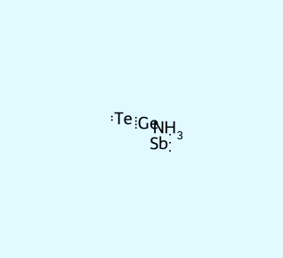 N.[Ge].[Sb].[Te]